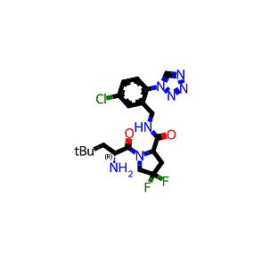 CC(C)(C)C[C@@H](N)C(=O)N1CC(F)(F)CC1C(=O)NCc1cc(Cl)ccc1-n1cnnn1